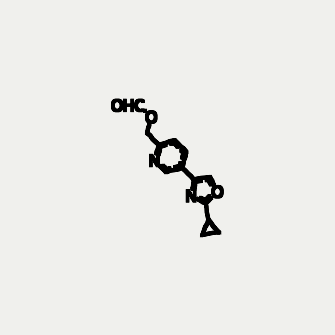 O=COCc1ccc(-c2coc(C3CC3)n2)cn1